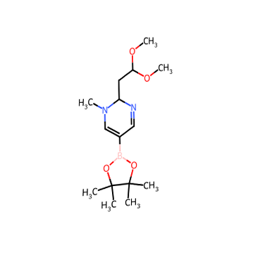 COC(CC1N=CC(B2OC(C)(C)C(C)(C)O2)=CN1C)OC